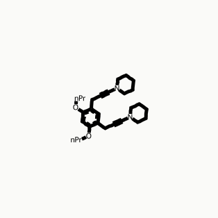 CCCOc1cc(OCCC)c(CC#CN2CCCCC2)cc1CC#CN1CCCCC1